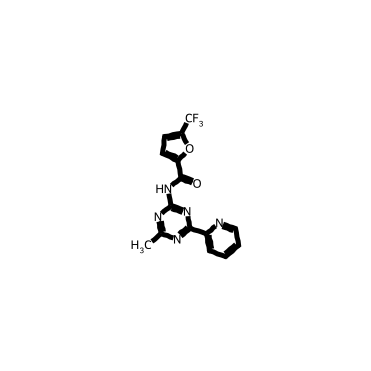 Cc1nc(NC(=O)c2ccc(C(F)(F)F)o2)nc(-c2ccccn2)n1